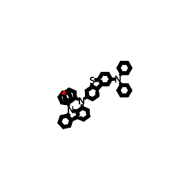 c1ccc(N(c2ccccc2)c2ccc3sc4cc(N(c5ccccc5)c5cccc6c7ccccc7n(-c7ccccc7)c56)ccc4c3c2)cc1